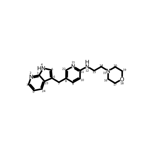 c1cnc2[nH]cc(Cc3ccc(NCCN4CCOCC4)nc3)c2c1